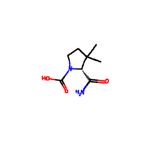 CC1(C)CCN(C(=O)O)[C@H]1C(N)=O